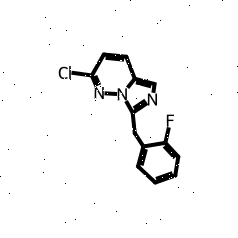 Fc1ccccc1Cc1ncc2ccc(Cl)nn12